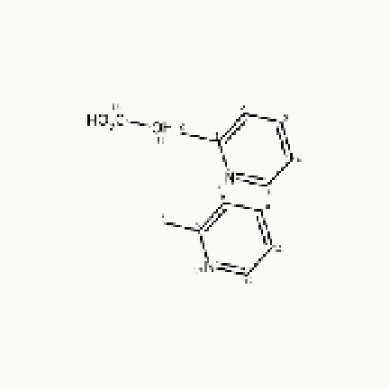 Cc1ccccn1.Cc1ccccn1.O=C(O)O